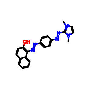 Cn1cc[n+](C)c1/N=N/c1ccc(/N=N/c2c(O)ccc3ccccc23)cc1